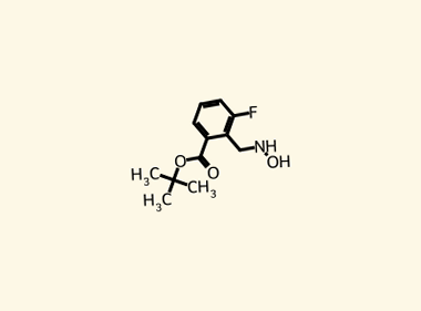 CC(C)(C)OC(=O)c1cccc(F)c1CNO